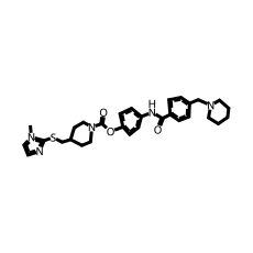 Cn1ccnc1SCC1CCN(C(=O)Oc2ccc(NC(=O)c3ccc(CN4CCCCC4)cc3)cc2)CC1